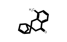 Cc1cccc2c1CC1(CC2=O)CC2=CCC1C2